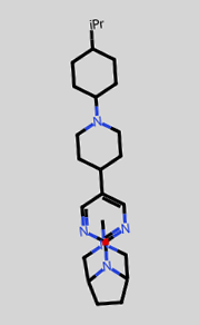 CC(C)C1CCC(N2CCC(c3cnc(N4C5CCC4CN(C)C5)nc3)CC2)CC1